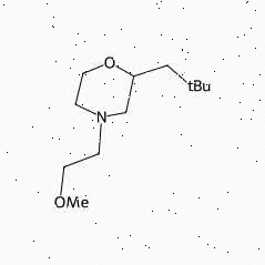 COCCN1CCOC(CC(C)(C)C)C1